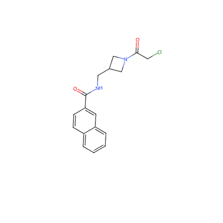 O=C(NCC1CN(C(=O)CCl)C1)c1ccc2ccccc2c1